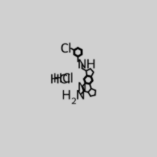 Cl.Cl.NC1=Nc2cc3c(cc2C2CCCC12)CCC3CNCc1cccc(Cl)c1